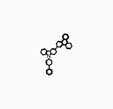 C1=CC2=C(CC1)N(C1C=CC(c3ccccc3)CC1)C1CCC(C3C=c4c5c(c6ccccc6c4=CC3)CCC=C5)=CC21